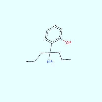 CCCC(N)(CCC)c1ccccc1O